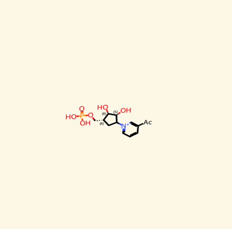 CC(=O)c1ccc[n+](C2C[C@H](COP(=O)(O)O)[C@@H](O)[C@H]2O)c1